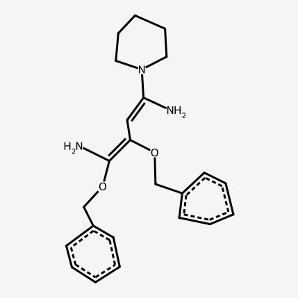 N/C(OCc1ccccc1)=C(\C=C(/N)N1CCCCC1)OCc1ccccc1